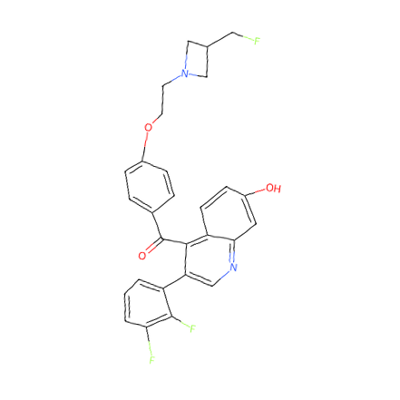 O=C(c1ccc(OCCN2CC(CF)C2)cc1)c1c(-c2cccc(F)c2F)cnc2cc(O)ccc12